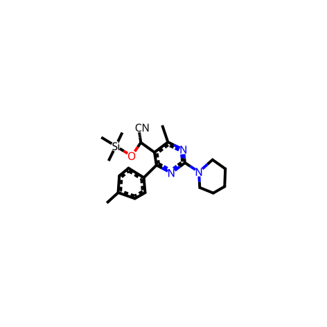 Cc1ccc(-c2nc(N3CCCCC3)nc(C)c2C(C#N)O[Si](C)(C)C)cc1